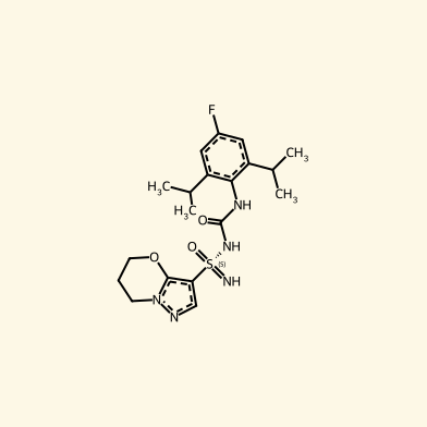 CC(C)c1cc(F)cc(C(C)C)c1NC(=O)N[S@@](=N)(=O)c1cnn2c1OCCC2